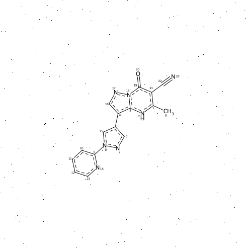 Cc1[nH]c2c(-c3cnn(-c4ccccn4)c3)cnn2c(=O)c1C#N